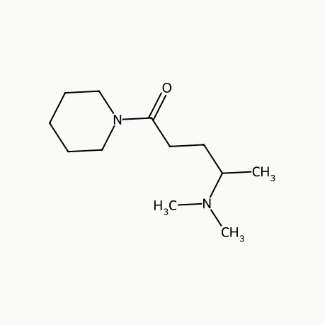 CC(CCC(=O)N1CCCCC1)N(C)C